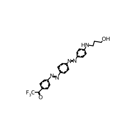 O=C(c1ccc(N=Nc2ccc(N=Nc3ccc(NCCCO)cc3)cc2)cc1)C(F)(F)F